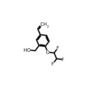 C=Cc1ccc(OC(F)C(F)F)c(CO)c1